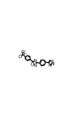 O=[N+]([O-])c1ccc(-c2nc(-c3ccc(-c4csnn4)cc3)no2)cc1